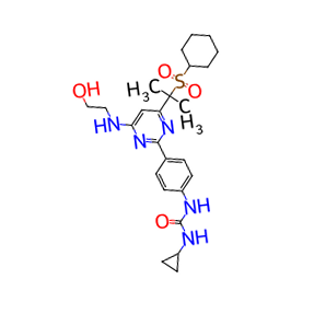 CC(C)(c1cc(NCCO)nc(-c2ccc(NC(=O)NC3CC3)cc2)n1)S(=O)(=O)C1CCCCC1